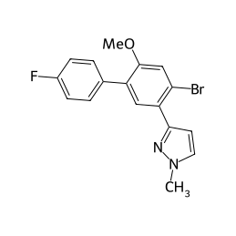 COc1cc(Br)c(-c2ccn(C)n2)cc1-c1ccc(F)cc1